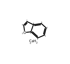 [CaH2].c1ccc2occc2c1